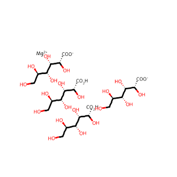 O=C(O)[C@H](O)[C@@H](O)[C@H](O)[C@H](O)CO.O=C(O)[C@H](O)[C@@H](O)[C@H](O)[C@H](O)CO.O=C([O-])[C@H](O)[C@@H](O)[C@H](O)[C@H](O)CO.O=C([O-])[C@H](O)[C@@H](O)[C@H](O)[C@H](O)CO.[Mg+2]